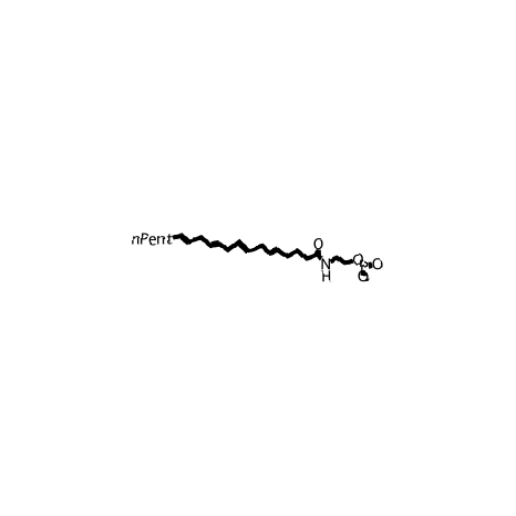 CCCCCC=CCC=CCC=CCC=CCCCC(=O)NCCOP(=O)=O